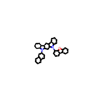 C1=Cc2c(n(-c3ccc4ccccc4c3)c3cc4c(cc23)c2ccccc2n4-c2cccc3c2oc2ccccc23)CC1